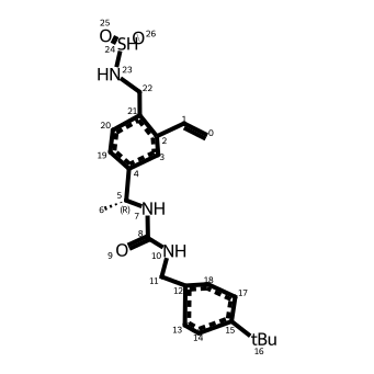 C=Cc1cc([C@@H](C)NC(=O)NCc2ccc(C(C)(C)C)cc2)ccc1CN[SH](=O)=O